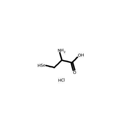 Cl.NC(C[SeH])C(=O)O